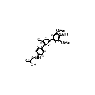 COc1cc(-c2nc(-c3ccc(N[CH]C(C)O)cc3)c(C)o2)cc(OC)c1O